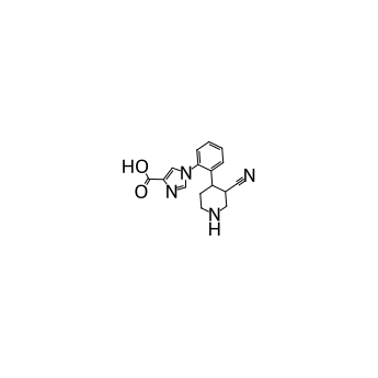 N#CC1CNCCC1c1ccccc1-n1cnc(C(=O)O)c1